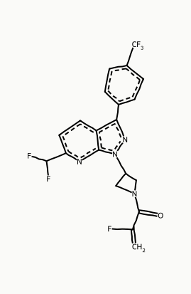 C=C(F)C(=O)N1CC(n2nc(-c3ccc(C(F)(F)F)cc3)c3ccc(C(F)F)nc32)C1